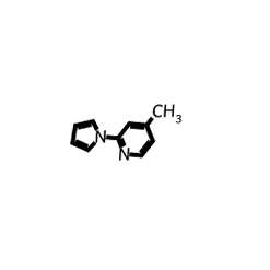 Cc1ccnc(-n2cccc2)c1